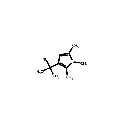 Cc1cc(C(C)(C)C#N)c(C)n1C